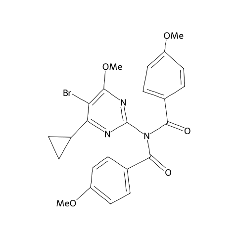 COc1ccc(C(=O)N(C(=O)c2ccc(OC)cc2)c2nc(OC)c(Br)c(C3CC3)n2)cc1